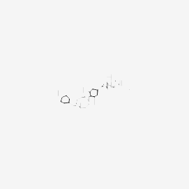 NC(=S)NN=Cc1cc(F)c(N2CCCN(Cc3ccc(F)cc3)CC2)c(F)c1